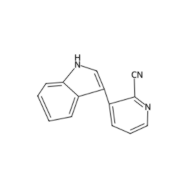 N#Cc1ncccc1-c1c[nH]c2ccccc12